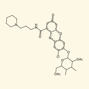 CC(=O)OCC1OC(Oc2cc3oc4cc(=O)cc(C(=O)NCCCN5CCCCC5)c-4nc3cc2Cl)C(OC(C)=O)C(C)C1C